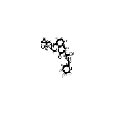 CS(=O)(=O)C1(CN2CCn3c(=O)c(C(=O)NCc4ccc(F)cn4)cc4cccc2c43)CC1